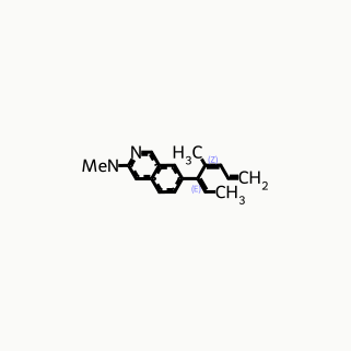 C=C/C=C(C)\C(=C/C)c1ccc2cc(NC)ncc2c1